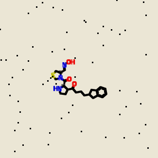 O=C(CCCC1Cc2ccccc2C1)C1CCN[C@H]1C(=O)N1CSC[C@H]1C=NO